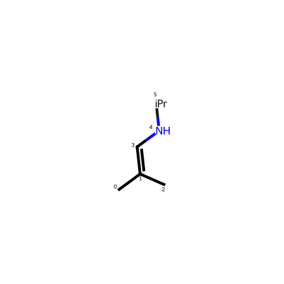 CC(C)=CNC(C)C